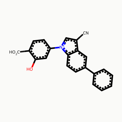 N#Cc1cn(-c2ccc(C(=O)O)c(O)c2)c2ccc(-c3ccccc3)cc12